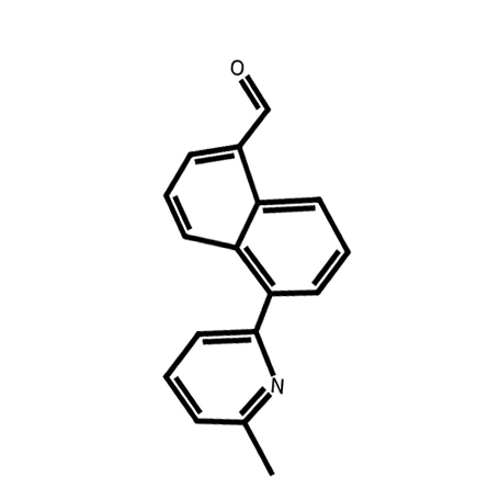 Cc1cccc(-c2cccc3c(C=O)cccc23)n1